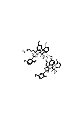 CCc1cccc(C2(CCCN)SC(c3cc(F)ccc3F)=NN2C(=O)[C@@](C)(OC)c2cccc(CC)c2)c1.CO[C@](C)(C(=O)N1N=C(c2cc(F)ccc2F)SC1(CCCN)c1cccc(Cl)c1)c1cccc(Cl)c1